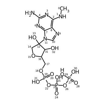 CNc1nc(N)nc2c1ncn2C1(O)COC(COP(=O)(O)OP(=O)(O)OP(=O)(O)O)C1O